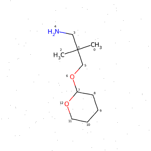 CC(C)(CN)COC1CCCCO1